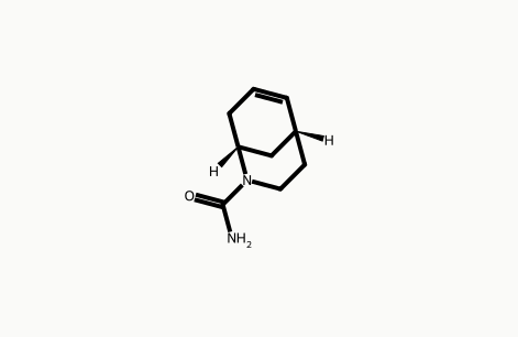 NC(=O)N1CC[C@H]2C=CC[C@@H]1C2